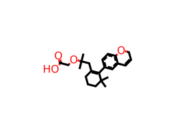 CC(C)(CC1=C(c2ccc3c(c2)C=CCO3)C(C)(C)CCC1)OCC(=O)O